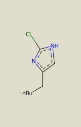 CCCCCc1c[nH]c(Cl)n1